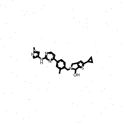 Cc1cc(-c2ccnc(Nc3cnn(C)c3)n2)ccc1CN1Cc2cc(C3CC3)sc2C1O